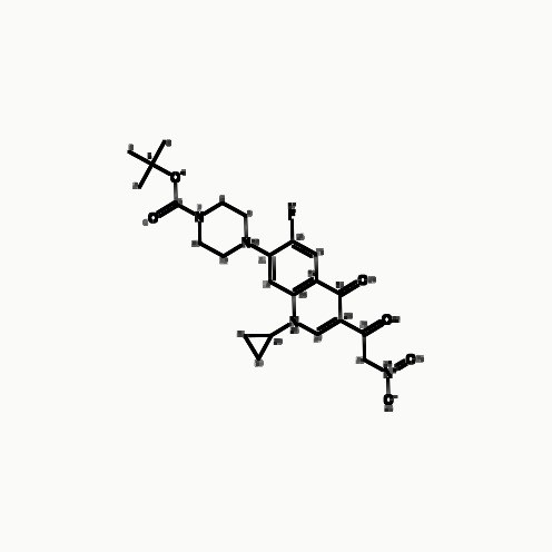 CC(C)(C)OC(=O)N1CCN(c2cc3c(cc2F)c(=O)c(C(=O)C[N+](=O)[O-])cn3C2CC2)CC1